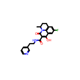 CC1CCc2cc(F)cc3c(O)c(C(=O)NCCc4cccnc4)c(=O)n1c23